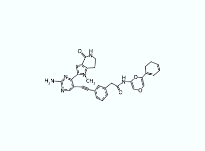 Cn1c(-c2nc(N)ncc2C#Cc2cccc(CC(=O)NC3=COC=C(C4=CC=CCC4)O3)c2)cc2c1CCNC2=O